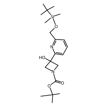 CC(C)(C)OC(=O)N1CC(O)(c2cccc(CO[Si](C)(C)C(C)(C)C)n2)C1